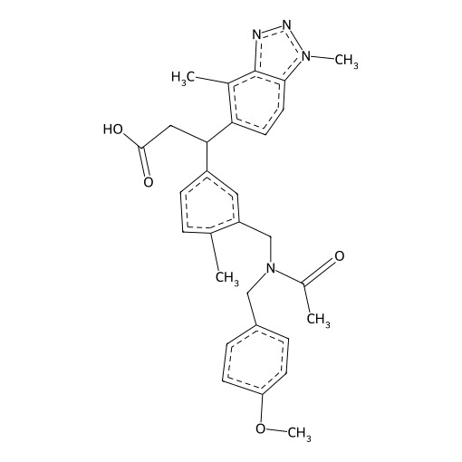 COc1ccc(CN(Cc2cc(C(CC(=O)O)c3ccc4c(nnn4C)c3C)ccc2C)C(C)=O)cc1